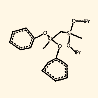 CC(C)O[Si](C)(C[Si](C)(Oc1ccccc1)Oc1ccccc1)OC(C)C